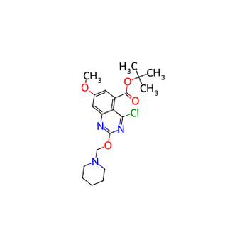 COc1cc(C(=O)OC(C)(C)C)c2c(Cl)nc(OCN3CCCCC3)nc2c1